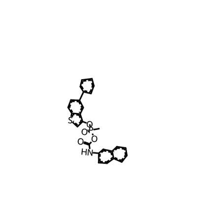 CP(=O)(OC(=O)Nc1ccc2ccccc2c1)Oc1csc2ccc(-c3ccccc3)cc12